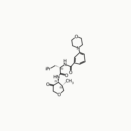 CC(C)C[C@H](NC(=O)c1cccc(N2CCOCC2)c1)C(=O)N[C@@H]1C(=O)COC[C@H]1C